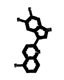 Fc1cc2[nH]cc(-c3ccc4c(F)cccc4n3)c2cc1F